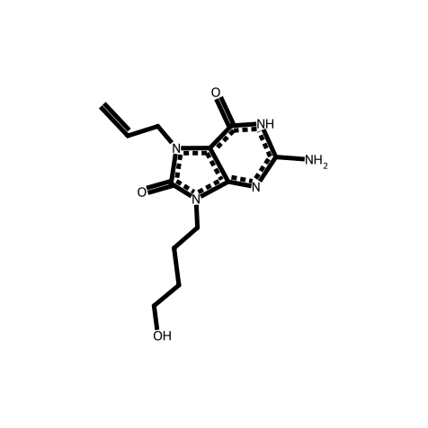 C=CCn1c(=O)n(CCCCO)c2nc(N)[nH]c(=O)c21